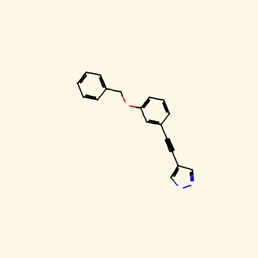 C(#Cc1cccc(OCc2ccccc2)c1)c1cn[nH]c1